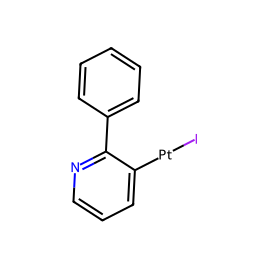 [I][Pt][c]1cccnc1-c1ccccc1